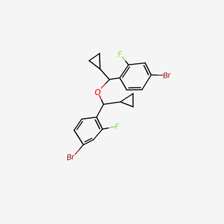 Fc1cc(Br)ccc1C(OC(c1ccc(Br)cc1F)C1CC1)C1CC1